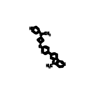 Cn1c2ccncc2c2ccc(-c3ccc(O[C@H]4C[C@H](N(C)C5CCNCC5)C4)nc3)cc21